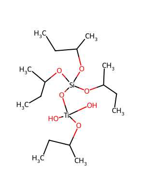 CCC(C)O[Si](OC(C)CC)(OC(C)CC)[O][Ti]([OH])([OH])[O]C(C)CC